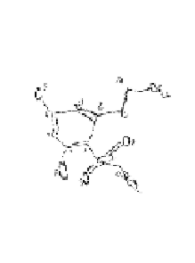 CCS(=O)(=O)c1c(Cl)cc(Cl)cc1CCBr